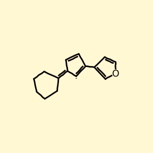 [C]1=C(c2ccoc2)C=CC1=C1CCCCC1